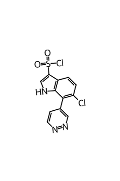 O=S(=O)(Cl)c1c[nH]c2c(-c3ccnnc3)c(Cl)ccc12